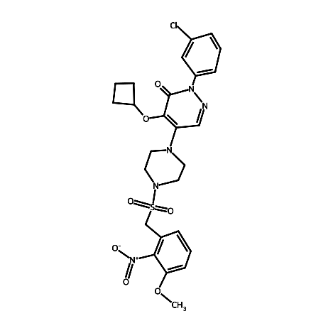 COc1cccc(CS(=O)(=O)N2CCN(c3cnn(-c4cccc(Cl)c4)c(=O)c3OC3CCC3)CC2)c1[N+](=O)[O-]